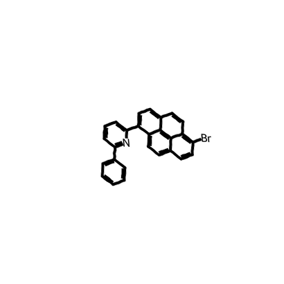 Brc1ccc2ccc3c(-c4cccc(-c5ccccc5)n4)ccc4ccc1c2c43